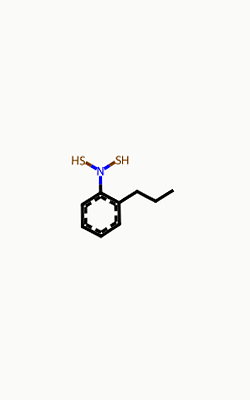 CCCc1ccccc1N(S)S